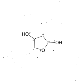 OC1COC(O)C1